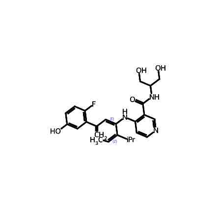 C=C(/C=C(Nc1ccncc1C(=O)NC(CO)CO)\C(=C/C)C(C)C)c1cc(O)ccc1F